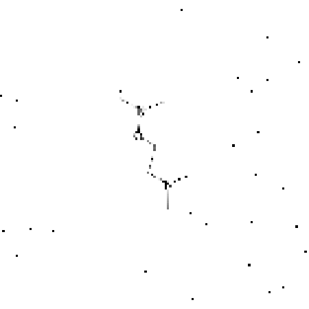 CN(C)CCON(C)C